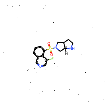 O=S(=O)(c1cccc2cncc(F)c12)N1CC2CCN[C@@H]2C1